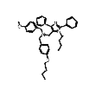 CCCCOc1ccc(CN(Cc2ccc(OC)cc2)Cc2c(-c3ccccc3)nc(-c3ccccc3)n2CCCC)cc1